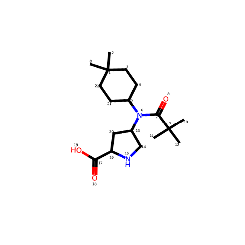 CC1(C)CCC(N(C(=O)C(C)(C)C)C2CNC(C(=O)O)C2)CC1